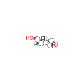 C[C@]12CC[C@@H](O)C[C@@H]1CCC1C3CC[C@@H]4[C@@]5(CCC[C@]34CCC12)CO5